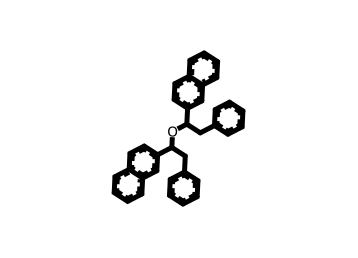 c1ccc(CC(OC(Cc2ccccc2)c2ccc3ccccc3c2)c2ccc3ccccc3c2)cc1